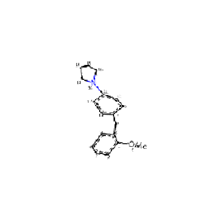 COc1ccccc1Cc1ccc(N2CCCC2)cc1